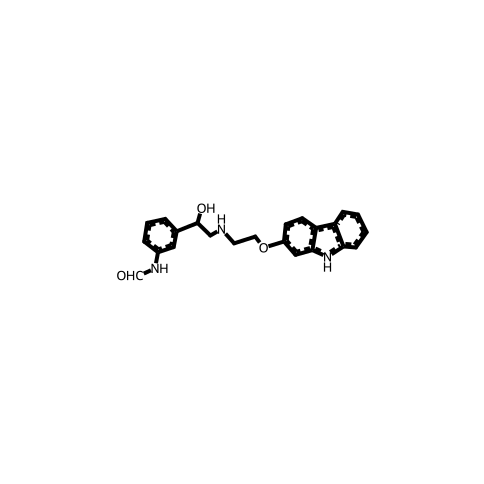 O=CNc1cccc(C(O)CNCCOc2ccc3c(c2)[nH]c2ccccc23)c1